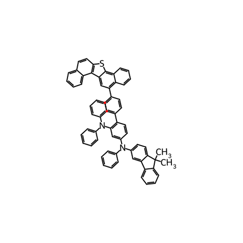 CC1(C)c2ccccc2-c2cc(N(c3ccccc3)c3ccc(-c4ccc(-c5cc6c(sc7ccc8ccccc8c76)c6ccccc56)cc4)c(N(c4ccccc4)c4ccccc4)c3)ccc21